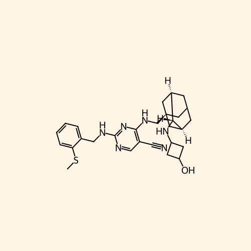 CSc1ccccc1CNc1ncc(C#N)c(NC[C@]23CC4C[C@H](C2)[C@@H](NC2CC(O)C2)[C@@H](C4)C3)n1